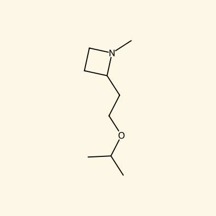 CC(C)OCCC1CCN1C